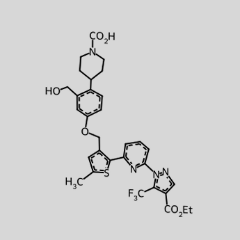 CCOC(=O)c1cnn(-c2cccc(-c3sc(C)cc3COc3ccc(C4CCN(C(=O)O)CC4)c(CO)c3)n2)c1C(F)(F)F